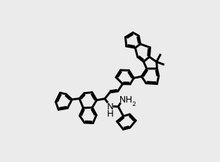 CC1(C)c2cc3ccccc3cc2-c2c(-c3cccc(/C=C/C(NC(N)c4ccccc4)c4ccc(-c5ccccc5)c5ccccc45)c3)cccc21